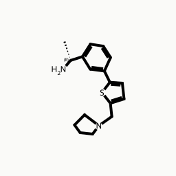 C[C@@H](N)c1cccc(-c2ccc(CN3CCCC3)s2)c1